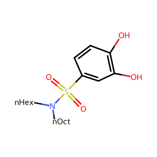 CCCCCCCCN(CCCCCC)S(=O)(=O)c1ccc(O)c(O)c1